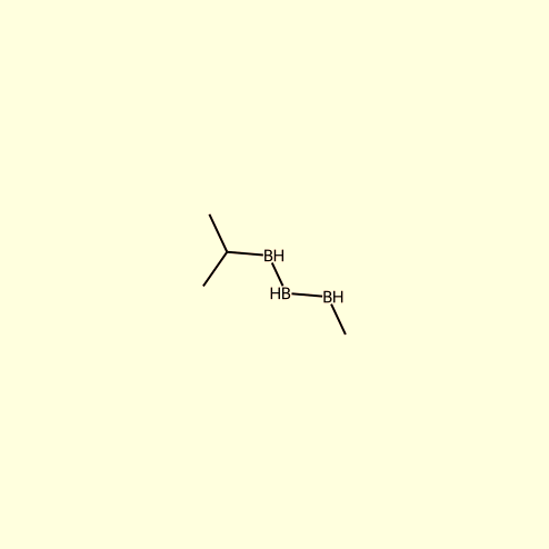 CBBBC(C)C